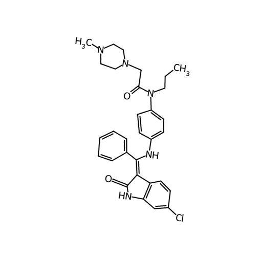 CCCN(C(=O)CN1CCN(C)CC1)c1ccc(NC(=C2C(=O)Nc3cc(Cl)ccc32)c2ccccc2)cc1